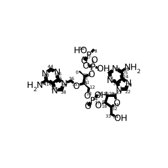 C[C@@H](OP(=O)(O)OP(C)(=O)O)[C@@H](COP(=O)(O)O[C@@H]1C[C@H](n2cnc3c(N)ncnc32)OC1CO)OCn1cnc2c(N)ncnc21